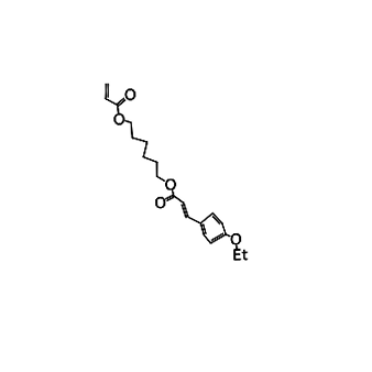 C=CC(=O)OCCCCCCOC(=O)/C=C/c1ccc(OCC)cc1